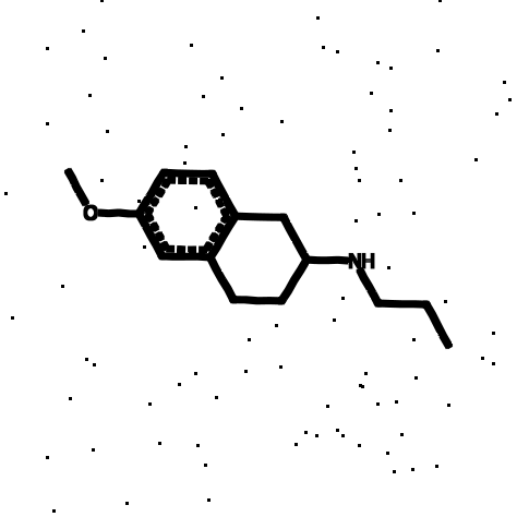 CCCNC1CCc2cc(OC)ccc2C1